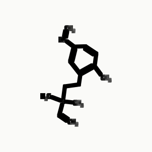 C=CS(C)(C)CCc1cc([SH]=C)ccc1C